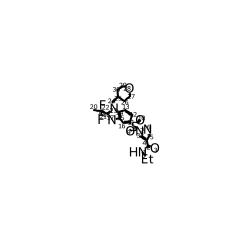 CCNC(=O)c1cnn(S(=O)(=O)c2ccc3c(c2)nc(C(C)(F)F)n3CC2CCOCC2)c1